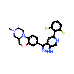 CN1CCN2c3ccc(-c4n[nH]c5cnc(-c6c(F)cccc6F)cc45)cc3OCC2C1